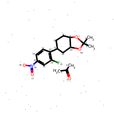 CC(C)=O.CC1(C)OC2CCC(c3ccc([N+](=O)[O-])cc3F)CC2O1